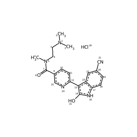 CN(C)CCN(C)C(=O)c1ccc(-c2c(O)[nH]c3ccc(C#N)cc23)nc1.Cl